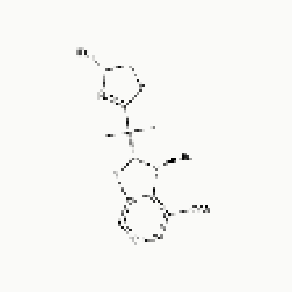 COc1cccc2c1[P@](C(C)(C)C)[C@@H](C(C)(C)C1=N[C@H](C(C)C)CO1)O2